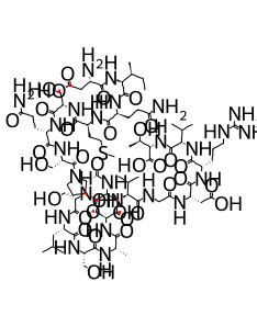 CC[C@H](C)[C@H](NC(=O)[C@@H](N)CC(=O)O)C(=O)N[C@@H](CCC(N)=O)C(=O)N[C@@H](CCSC)C(=O)N[C@H](C(=O)N[C@@H](CCC(N)=O)C(=O)N[C@@H](CO)C(=O)N1CCC[C@H]1C(=O)N[C@@H](CO)C(=O)N[C@@H](CO)C(=O)N[C@@H](CC(C)C)C(=O)N[C@@H](CO)C(=O)N[C@@H](C)C(=O)N[C@@H](CO)C(=O)N[C@H](C(=O)NCC(=O)N[C@@H](CC(=O)O)C(=O)N[C@@H](CCCNC(=N)N)C(=O)N[C@H](C(=O)N[C@H](C(=O)O)[C@@H](C)O)C(C)C)C(C)C)[C@@H](C)O